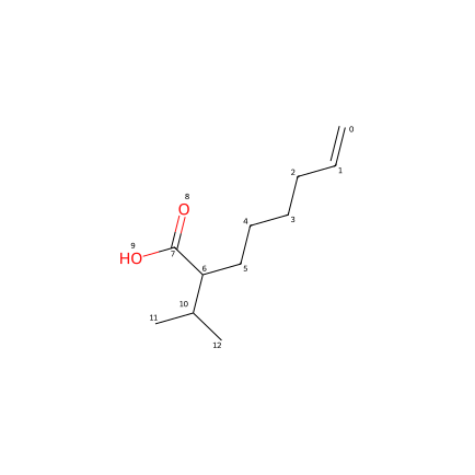 C=CCCCCC(C(=O)O)C(C)C